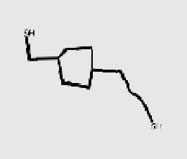 SCCCC1CCC(CS)CC1